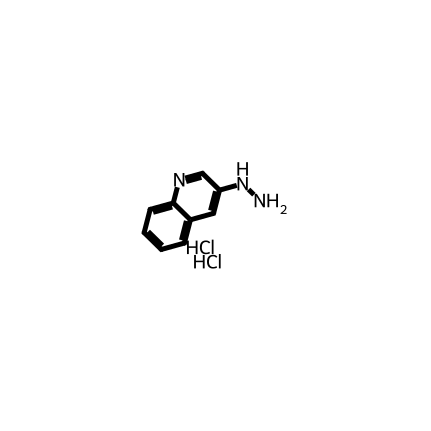 Cl.Cl.NNc1cnc2ccccc2c1